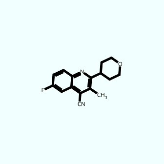 Cc1c(C2CCOCC2)nc2ccc(F)cc2c1C#N